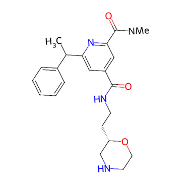 CNC(=O)c1cc(C(=O)NCC[C@H]2CNCCO2)cc(C(C)c2ccccc2)n1